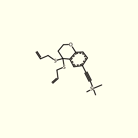 C=CCSC1(SCC=C)CCOc2ccc(C#C[Si](C)(C)C)cc21